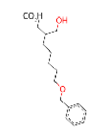 O=C(O)CC(CO)CCCCCOCc1ccccc1